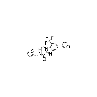 CCn1c(C(=O)NCc2cccs2)nc2cc(-c3ccoc3)cc(C(F)(F)F)c21